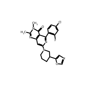 Cc1nc2cc(N3CCCC(c4cnco4)C3)nc(-c3ccc(Cl)cc3F)c2c(=O)n1C